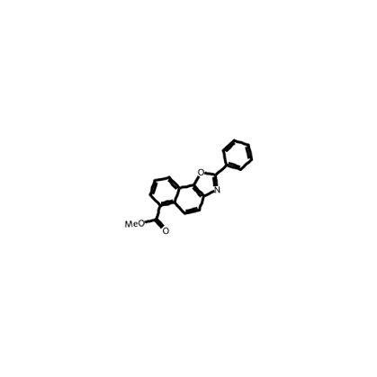 COC(=O)c1cccc2c1ccc1nc(-c3ccccc3)oc12